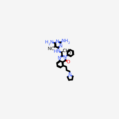 C[C@H](Nc1nc(N)nc(N)c1C#N)c1nc2cccc(CCCN3CCCC3)c2c(=O)n1-c1ccccc1